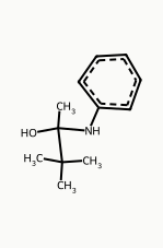 CC(C)(C)C(C)(O)Nc1ccccc1